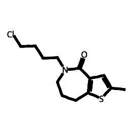 Cc1cc2c(s1)CCCN(CCCCCl)C2=O